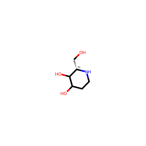 OC[C@@H]1NCCC(O)C1O